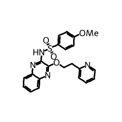 COc1ccc(S(=O)(=O)Nc2nc3ccccc3nc2OCCc2ccccn2)cc1